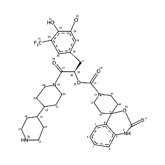 O=C1Nc2ccccc2C2(CCN(C(=O)O[C@H](Cc3cc(Cl)c(O)c(C(F)(F)F)c3)C(=O)N3CCC(C4CCNCC4)CC3)CC2)O1